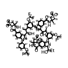 CC[C@@H](O)c1nn(-c2cc(OC(F)F)cc(C(C)[C@H](O)c3nn(-c4cc(OC(F)F)cc(C(C)C(O)c5nn(-c6cccc(OC(F)F)c6)c6ccc(C(=O)NC7(C)CS(=O)(=O)C7)cc56)c4)c4ccc(C(=O)NC5(C)CS(=O)(=O)C5)cc34)c2)c2ccc(C(=O)NC3(C)CS(=O)(=O)C3)cc12